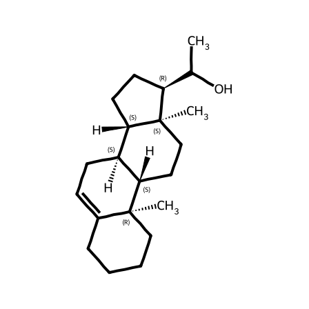 CC(O)[C@@H]1CC[C@H]2[C@@H]3CC=C4CCCC[C@]4(C)[C@H]3CC[C@]12C